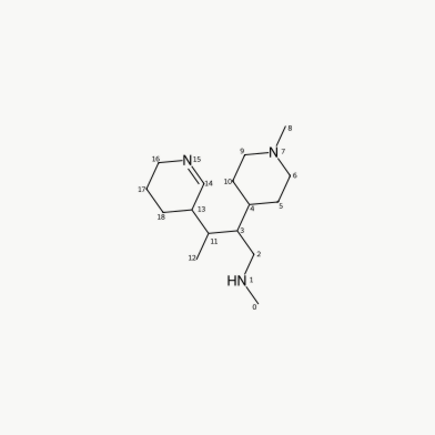 CNCC(C1CCN(C)CC1)C(C)C1C=NCCC1